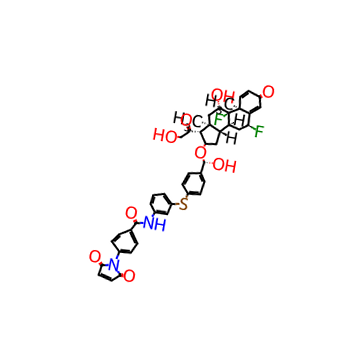 C[C@]12C[C@H](O)[C@@]3(F)[C@@H](C[C@H](F)C4=CC(=O)C=C[C@@]43C)[C@@H]1C[C@@H](O[C@H](O)c1ccc(Sc3cccc(NC(=O)c4ccc(N5C(=O)C=CC5=O)cc4)c3)cc1)[C@@H]2C(=O)CO